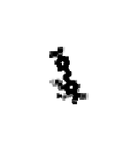 COc1c(C=Cc2ccc([N+](=O)[O-])cc2)ccc(C(=O)O)c1C